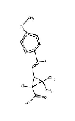 COc1ccc(C(Br)=CC2C(C)(C)C2(Cl)C(=O)O)cc1